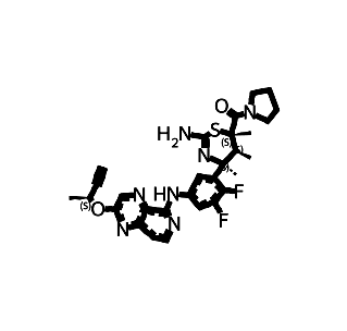 C#C[C@H](C)Oc1cnc2c(Nc3cc(F)c(F)c([C@@]4(C)N=C(N)S[C@](C)(C(=O)N5CCCC5)[C@H]4C)c3)nccc2n1